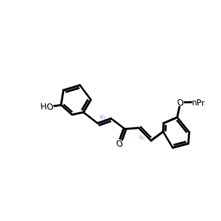 CCCOc1cccc(/C=C/C(=O)/C=C/c2cccc(O)c2)c1